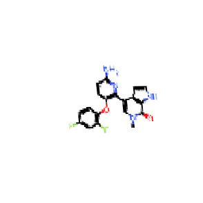 Cn1cc(-c2nc(N)ccc2Oc2ccc(F)cc2F)c2cc[nH]c2c1=O